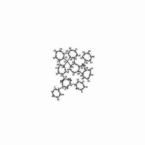 c1ccc(-c2nc(-c3ccccc3)nc(-c3ccc4c(c3)C3(c5ccccc5-4)c4ccccc4-c4c3ccc3c5ccccc5n(-c5ccccc5)c43)n2)cc1